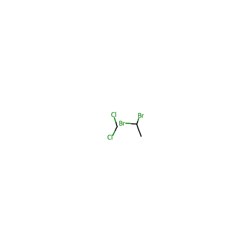 CC(Br)Br.ClCCl